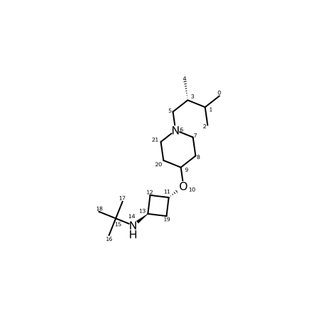 CC(C)[C@@H](C)CN1CCC(O[C@H]2C[C@H](NC(C)(C)C)C2)CC1